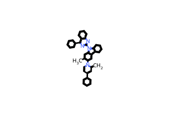 C=C1C=C(c2ccccc2)C=CN1c1cc2c3ccccc3n(-c3nc(-c4ccccc4)c4ccccc4n3)c2cc1C